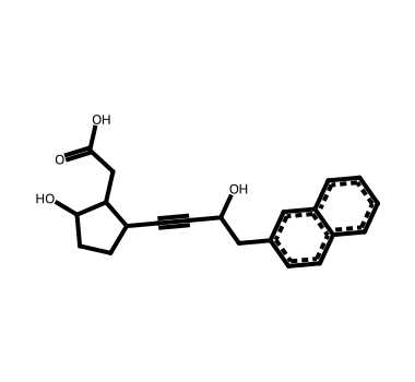 O=C(O)CC1C(O)CCC1C#CC(O)Cc1ccc2ccccc2c1